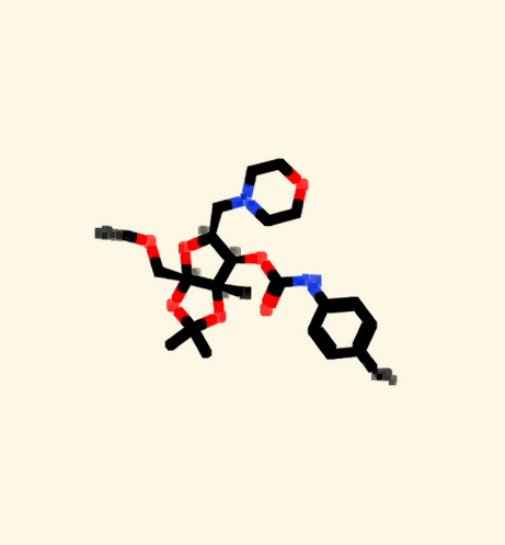 CCCCCCCCCCOC[C@@]12O[C@@H](CN3CCOCC3)[C@@H](OC(=O)Nc3ccc([N+](=O)[O-])cc3)[C@@H]1OC(C)(C)O2